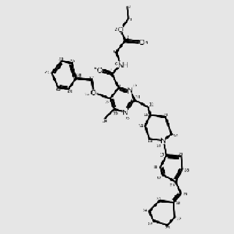 CCOC(=O)CNC(=O)c1nc(CC2CCN(c3ccc(C=C4CCCCC4)cc3)CC2)nc(C)c1OCc1ccccc1